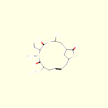 CC(=O)NC1C/C=C/CC2CC(CC(C#N)NC(=O)C(CC(C)C)N(C)C1=O)C(=O)N2